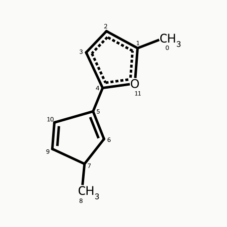 Cc1ccc(C2=CC(C)C=C2)o1